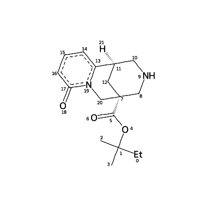 CCC(C)(C)OC(=O)[C@@]12CNC[C@@H](C1)c1cccc(=O)n1C2